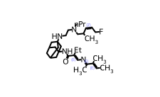 C/C=C(C)/C(C)=N/C=C(\CC)C(=O)NC12CC3CC(CC(NCCN(CCC)CC(C)/C=C\CF)(C3)C1)C2